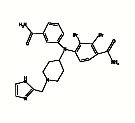 CC(C)c1c(C(N)=O)ccc(N(c2cccc(C(N)=O)c2)C2CCN(Cc3ncc[nH]3)CC2)c1C(C)C